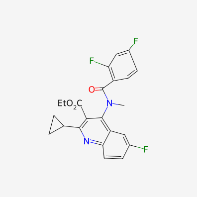 CCOC(=O)c1c(C2CC2)nc2ccc(F)cc2c1N(C)C(=O)c1ccc(F)cc1F